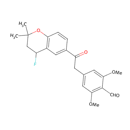 COc1cc(CC(=O)c2ccc3c(c2)C(F)CC(C)(C)O3)cc(OC)c1C=O